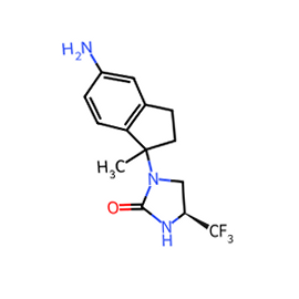 CC1(N2C[C@@H](C(F)(F)F)NC2=O)CCc2cc(N)ccc21